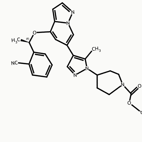 Cc1c(-c2cc(O[C@H](C)c3ccccc3C#N)c3ccnn3c2)cnn1C1CCN(C(=O)OC(C)(C)C)CC1